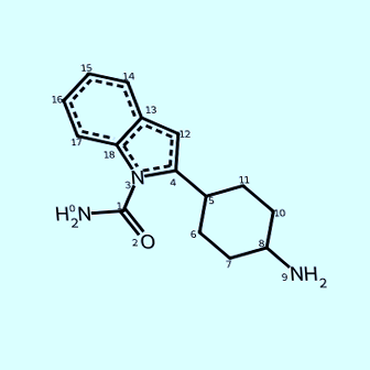 NC(=O)n1c(C2CCC(N)CC2)cc2ccccc21